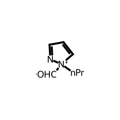 CCC[N+]1([C]=O)C=CC=N1